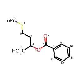 CCCSCCC(OC(=O)c1ccccc1)C(=O)O